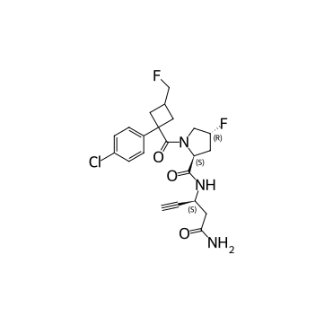 C#C[C@H](CC(N)=O)NC(=O)[C@@H]1C[C@@H](F)CN1C(=O)C1(c2ccc(Cl)cc2)CC(CF)C1